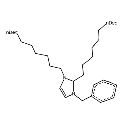 CCCCCCCCCCCCCCCCC1N(CCCCCCCCCCCCCCCC)C=CN1Cc1ccccc1